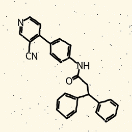 N#Cc1cnccc1-c1ccc(NC(=O)[CH]C(c2ccccc2)c2ccccc2)cc1